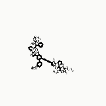 COC(=O)N[C@H](C(=O)N1CCC[C@H]1c1ncc(C#CC#Cc2ccc(-c3cnc([C@@H]4CCCN4C(=O)[C@H](NC(=O)OC)c4ccccc4)[nH]3)cc2-c2ccccc2)[nH]1)C(C)C.Cl.Cl